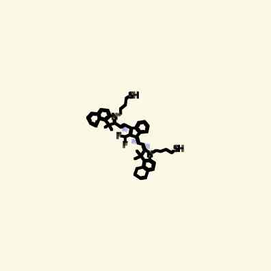 CC1(C)C(/C=C/C2=C(C(F)F)C(=C/C=C3/N(CCCCS)c4ccc5c(c4C3(C)C)CCC=C5)/c3ccccc32)=[N+](CCCCS)c2ccc3ccccc3c21